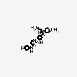 C=CCN(C1CCN(C)CC1)S(=O)(=O)c1ccc(Nc2nccc(Nc3ccc(F)cc3)n2)cc1